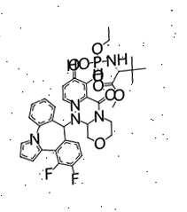 CCO[PH](O)(N[C@@H](C(=O)OC)C(C)(C)C)Oc1c2n(ccc1=O)N(C1c3ccccc3-n3cccc3-c3c1ccc(F)c3F)C1COCCN1C2=O